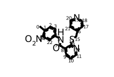 Cc1ccc(NC(=O)c2cccnc2SCc2ccncc2)cc1[N+](=O)[O-]